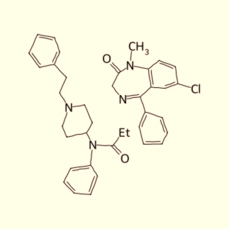 CCC(=O)N(c1ccccc1)C1CCN(CCc2ccccc2)CC1.CN1C(=O)CN=C(c2ccccc2)c2cc(Cl)ccc21